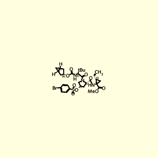 C=C[C@@H]1C[C@@]1(NC(=O)[C@@H]1C[C@H](OS(=O)(=O)c2ccc(Br)cc2)CN1C(=O)[C@@H](NC(=O)O[C@@H]1C[C@@H]2C[C@@H]2C1)C(C)(C)C)C(=O)OC